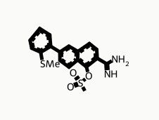 CSc1ccccc1-c1ccc2c(OS(C)(=O)=O)c(C(=N)N)ccc2c1